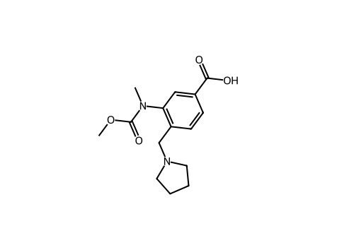 COC(=O)N(C)c1cc(C(=O)O)ccc1CN1CCCC1